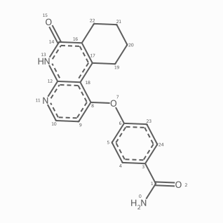 NC(=O)c1ccc(Oc2ccnc3[nH]c(=O)c4c(c23)CCCC4)cc1